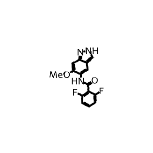 COc1cc2n[nH]cc2cc1NC(=O)c1c(F)cccc1F